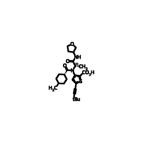 C[C@@H](C(=O)NC1CCOC1)N(c1cc(C#CC(C)(C)C)sc1C(=O)O)C(=O)[C@H]1CC[C@H](C)CC1